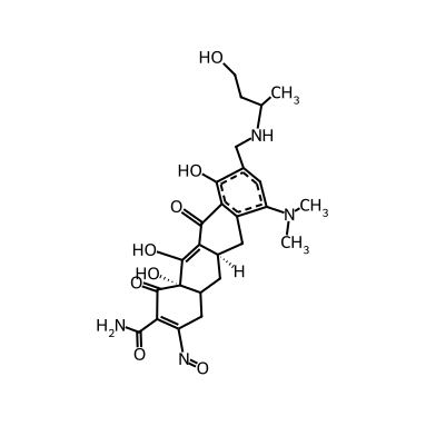 CC(CCO)NCc1cc(N(C)C)c2c(c1O)C(=O)C1=C(O)[C@]3(O)C(=O)C(C(N)=O)=C(N=O)CC3C[C@@H]1C2